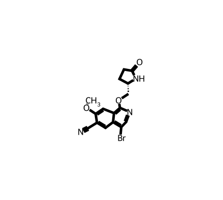 COc1cc2c(OC[C@@H]3CCC(=O)N3)ncc(Br)c2cc1C#N